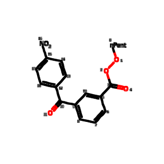 CCCCCOOC(=O)c1cccc(C(=O)c2ccc([N+](=O)[O-])cc2)c1